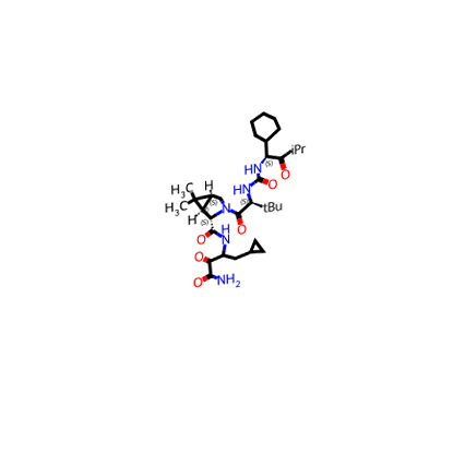 CC(C)C(=O)[C@@H](NC(=O)N[C@H](C(=O)N1C[C@H]2[C@@H]([C@H]1C(=O)NC(CC1CC1)C(=O)C(N)=O)C2(C)C)C(C)(C)C)C1CCCCC1